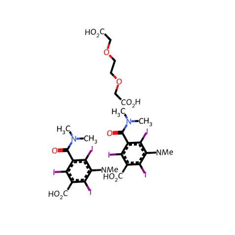 CNc1c(I)c(C(=O)O)c(I)c(C(=O)N(C)C)c1I.CNc1c(I)c(C(=O)O)c(I)c(C(=O)N(C)C)c1I.O=C(O)COCCOCC(=O)O